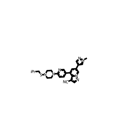 CC(C)CSN1CCN(c2ccc(-c3cc(-c4cnn(C)c4)cn4ncc(C#N)c34)cn2)CC1